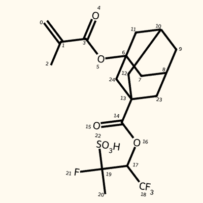 C=C(C)C(=O)OC12CC3CC(C1)CC(C(=O)OC(C(F)(F)F)C(C)(F)S(=O)(=O)O)(C3)C2